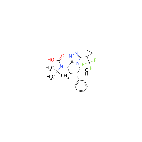 C[C@@H]1[C@H](c2ccccc2)C[C@H](N(C(=O)O)C(C)(C)C)c2nnc(C3(C(F)(F)F)CC3)n21